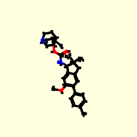 CCCc1ccc(-c2cc3c(cc2OCC)[C@H](NC(=O)O[C@H]2CN4CCC2CC4)C(C)(C)C3)cc1